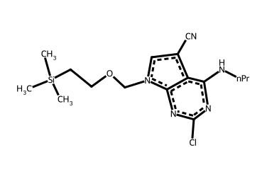 CCCNc1nc(Cl)nc2c1c(C#N)cn2COCC[Si](C)(C)C